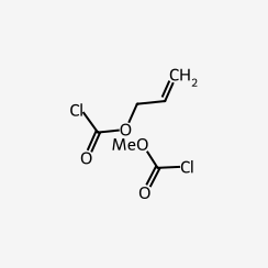 C=CCOC(=O)Cl.COC(=O)Cl